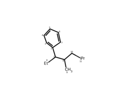 CCC(c1cc[c]cc1)C(C)CC(C)C